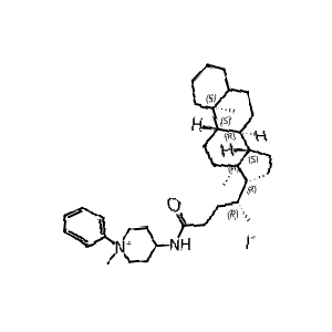 C[C@H](CCC(=O)NC1CC[N+](C)(c2ccccc2)CC1)[C@H]1CC[C@H]2[C@@H]3CCC4CCCC[C@]4(C)[C@H]3CC[C@]12C.[I-]